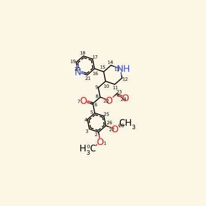 COc1ccc(C(=O)C(CC2CCNCC2c2cccnc2)OC=O)cc1OC